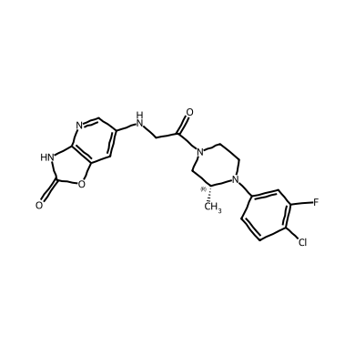 C[C@@H]1CN(C(=O)CNc2cnc3[nH]c(=O)oc3c2)CCN1c1ccc(Cl)c(F)c1